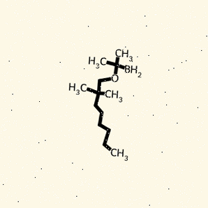 BC(C)(C)OCC(C)(C)CCCCCC